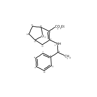 CCOC(=O)C1=C(NC(C)c2ccccc2)CC2CCC1O2